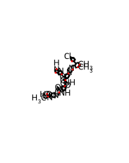 CCC(=O)N=[SH]1(O)CCN(CCNc2ccc(S(=O)(=O)NC(=O)c3ccc(N4CCN(CC5=C(c6ccc(Cl)cc6)CC(C)(C)CC5)CC4)cc3Oc3cnc4[nH]ccc4c3)cc2[N+](=O)[O-])CC1